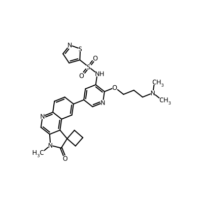 CN(C)CCCOc1ncc(-c2ccc3ncc4c(c3c2)C2(CCC2)C(=O)N4C)cc1NS(=O)(=O)c1ccns1